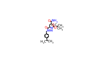 CC(C)c1ccc(CNC(=O)C(CCC(N)=O)NC(=O)OC(C)(C)C)cc1